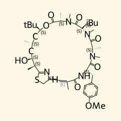 CC[C@H](C)[C@H]1C(=O)N(C)[C@@H](C)C(=O)O[C@H](C(C)(C)C)C[C@@H](C)C[C@H](O)[C@H](C)C2=N[C@@H](/C=C(\C)C(=O)N[C@@H](Cc3ccc(OC)cc3)C(=O)N(C)[C@@H](C)C(=O)N1C)CS2